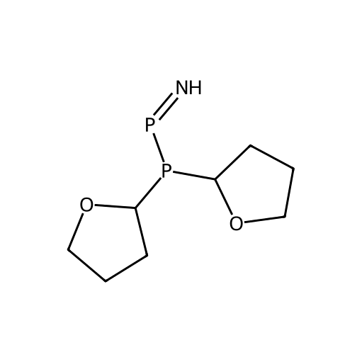 N=PP(C1CCCO1)C1CCCO1